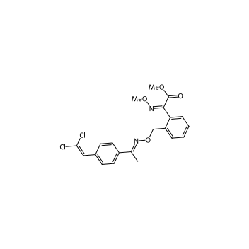 CON=C(C(=O)OC)c1ccccc1CO/N=C(\C)c1ccc(C=C(Cl)Cl)cc1